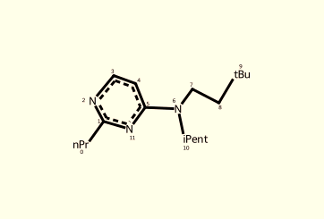 CCCc1nccc(N(CCC(C)(C)C)C(C)CCC)n1